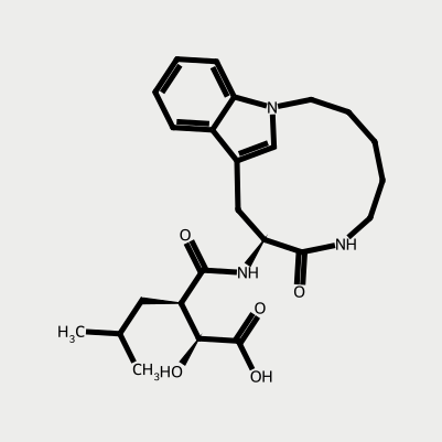 CC(C)C[C@@H](C(=O)N[C@H]1Cc2cn(c3ccccc23)CCCCCNC1=O)[C@H](O)C(=O)O